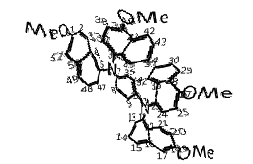 COc1ccc2c(N(c3ccc(N(c4cccc5cc(OC)ccc45)c4ccc(OC)c5ccccc45)cc3)c3ccc(OC)c4ccccc34)cccc2c1